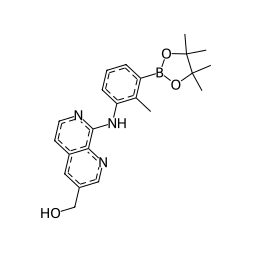 Cc1c(Nc2nccc3cc(CO)cnc23)cccc1B1OC(C)(C)C(C)(C)O1